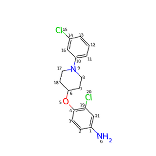 Nc1ccc(OC2CCN(c3cccc(Cl)c3)CC2)c(Cl)c1